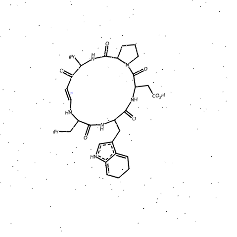 CC(C)CC1N/C=C/C(=O)C(C(C)C)NC(=O)C2CCCN2C(=O)C(CC(=O)O)NC(=O)C(Cc2c[nH]c3c2=CCCC=3)NC1=O